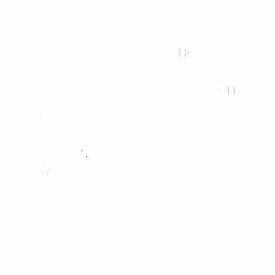 CN1CC(c2ccccc2)c2cc(O)ccc2CC1Cl.Cl